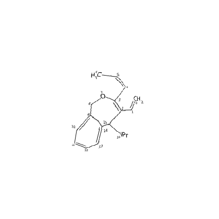 C=CC1=C(/C=C\C)OCc2ccccc2C1C(C)C